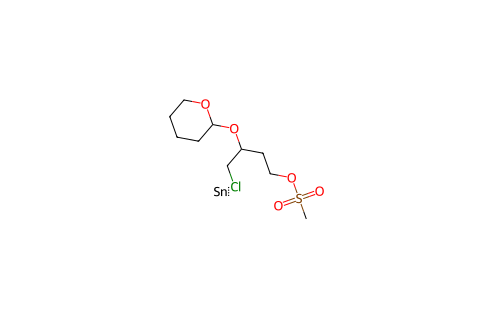 CS(=O)(=O)OCCC(CCl)OC1CCCCO1.[Sn]